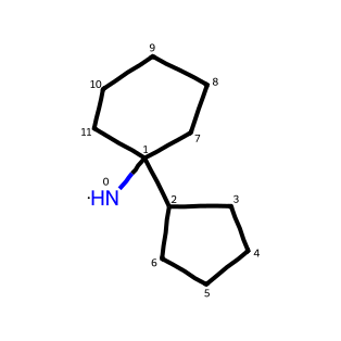 [NH]C1(C2CCCC2)CCCCC1